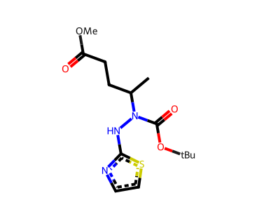 COC(=O)CCC(C)N(Nc1nccs1)C(=O)OC(C)(C)C